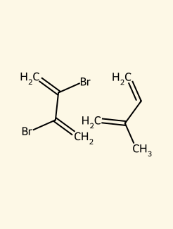 C=C(Br)C(=C)Br.C=CC(=C)C